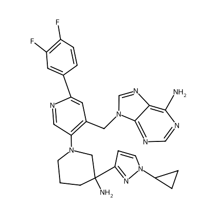 Nc1ncnc2c1ncn2Cc1cc(-c2ccc(F)c(F)c2)ncc1N1CCCC(N)(c2ccn(C3CC3)n2)C1